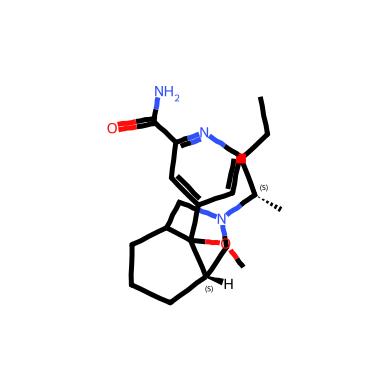 CCC[C@H](C)N1CC2CCC[C@@H](C1)C2(OC)c1ccnc(C(N)=O)c1